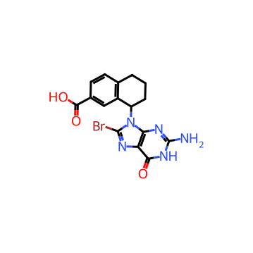 Nc1nc2c(nc(Br)n2C2CCCc3ccc(C(=O)O)cc32)c(=O)[nH]1